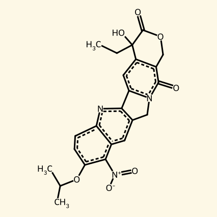 CCC1(O)C(=O)OCc2c1cc1n(c2=O)Cc2cc3c([N+](=O)[O-])c(OC(C)C)ccc3nc2-1